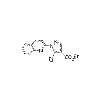 CCOC(=O)c1cnn(-c2ccc3ccccc3n2)c1Cl